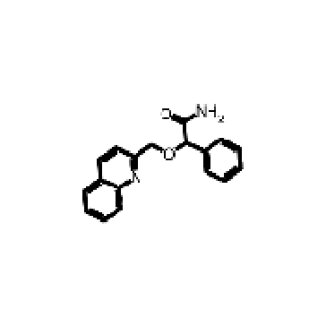 NC(=O)C(OCc1ccc2ccccc2n1)c1ccccc1